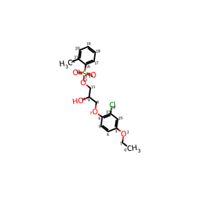 CCOc1ccc(OCC(O)COS(=O)(=O)c2ccccc2C)c(Cl)c1